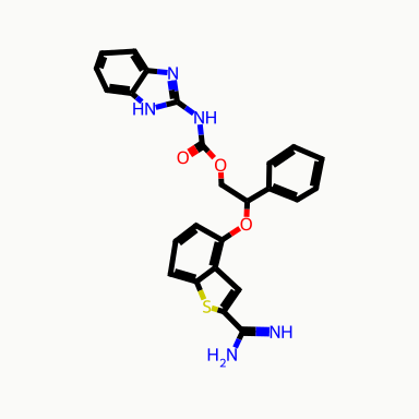 N=C(N)c1cc2c(OC(COC(=O)Nc3nc4ccccc4[nH]3)c3ccccc3)cccc2s1